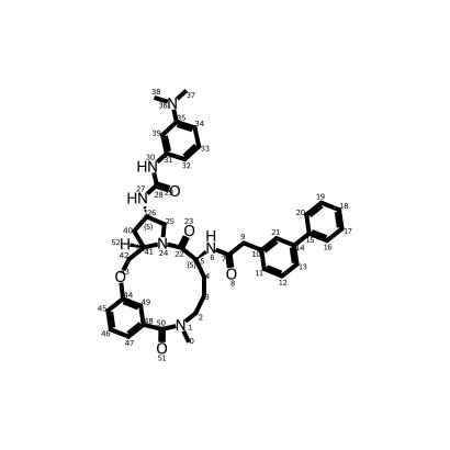 CN1CCC[C@H](NC(=O)Cc2cccc(-c3ccccc3)c2)C(=O)N2C[C@@H](NC(=O)Nc3cccc(N(C)C)c3)C[C@H]2COc2cccc(c2)C1=O